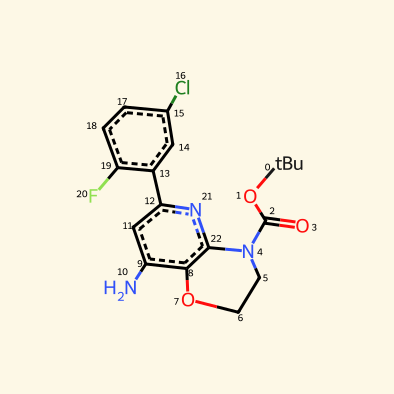 CC(C)(C)OC(=O)N1CCOc2c(N)cc(-c3cc(Cl)ccc3F)nc21